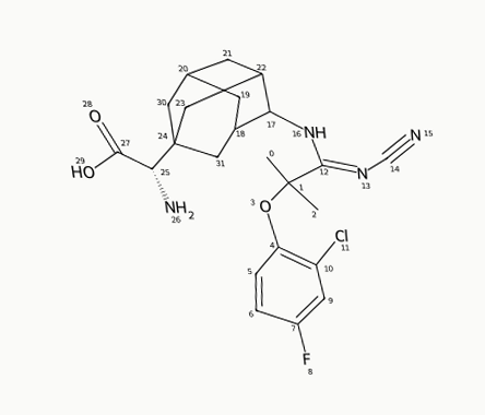 CC(C)(Oc1ccc(F)cc1Cl)/C(=N/C#N)NC1C2CC3CC1CC([C@H](N)C(=O)O)(C3)C2